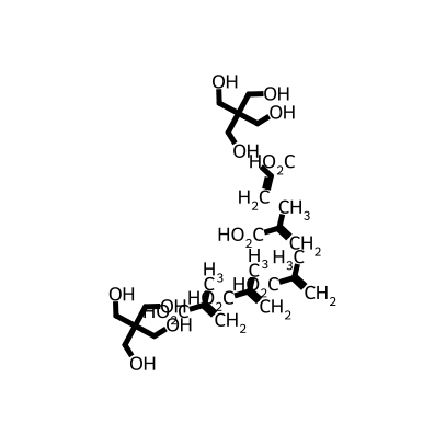 C=C(C)C(=O)O.C=C(C)C(=O)O.C=C(C)C(=O)O.C=C(C)C(=O)O.C=CC(=O)O.OCC(CO)(CO)CO.OCC(CO)(CO)CO